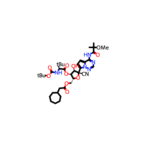 COC(C)(C)C(=O)Nc1ncnn2c([C@]3(C#N)O[C@H](COC(=O)CC4CCCCCC4)[C@@H](OC(=O)[C@@H](NC(=O)OC(C)(C)C)C(C)(C)C)[C@H]3O)ccc12